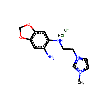 Cl.Cn1cc[n+](CCNc2cc3c(cc2N)OCO3)c1.[Cl-]